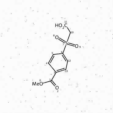 COC(=O)c1ccc(S(=O)(=O)CC(=O)O)cc1